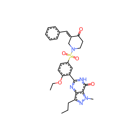 CCCc1nn(C)c2c(=O)[nH]c(-c3cc(S(=O)(=O)N4CCC(=O)C(=Cc5ccccc5)C4)ccc3OCC)nc12